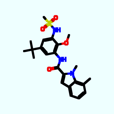 COc1c(NC(=O)c2cc3cccc(C)c3n2C)cc(C(C)(C)C)cc1NS(C)(=O)=O